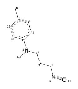 Cc1ccc(N(C)CCCN=O)cc1